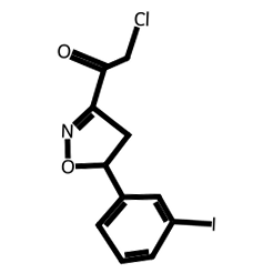 O=C(CCl)C1=NOC(c2cccc(I)c2)C1